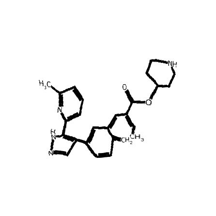 C=c1ccc(-c2cn[nH]c2-c2cccc(C)n2)c/c1=C/C(=C\C)C(=O)OC1CCNCC1